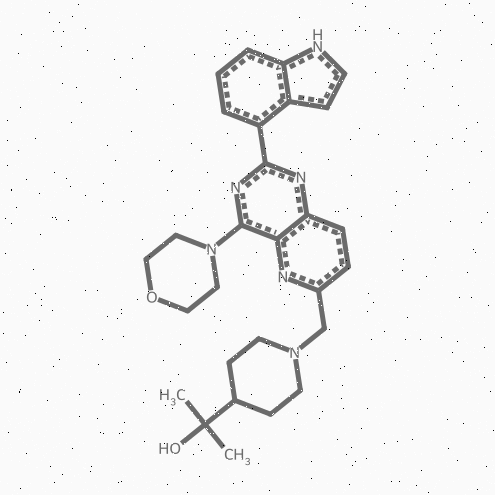 CC(C)(O)C1CCN(Cc2ccc3nc(-c4cccc5[nH]ccc45)nc(N4CCOCC4)c3n2)CC1